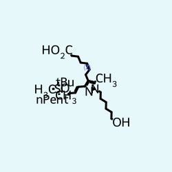 CCCCCC(C=Cc1nn(CCCCCCO)c(C)c1C/C=C\CCCC(=O)O)O[Si](C)(C)C(C)(C)C